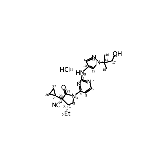 CC[C@H]1CN(c2ccnc(Nc3cnn(C(C)(C)CO)c3)n2)C(=O)[C@]1(C#N)C1CC1.Cl